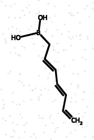 C=CC=CC=CCB(O)O